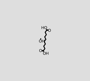 CO.O=C(O)CCCCCCCCC(=O)O